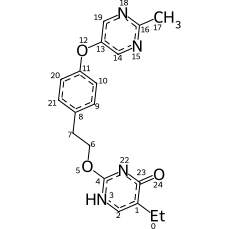 CCc1c[nH]c(OCCc2ccc(Oc3cnc(C)nc3)cc2)nc1=O